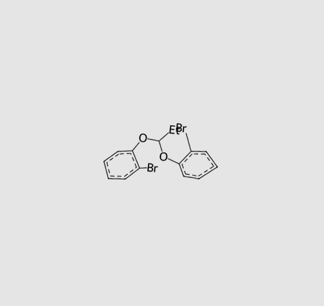 CCC(Oc1ccccc1Br)Oc1ccccc1Br